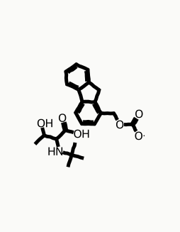 CC(O)C(NC(C)(C)C)C(=O)O.[O]C(=O)OCc1cccc2c1Cc1ccccc1-2